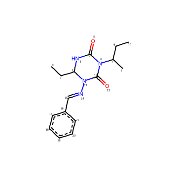 CCC1NC(=O)N(C(C)CC)C(=O)N1N=Cc1ccccc1